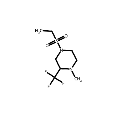 CCS(=O)(=O)N1CCN(C)C(C(F)(F)F)C1